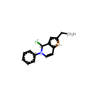 CCOC(=O)Cc1cc2c(s1)C=CN(c1ccccc1)C2Cl